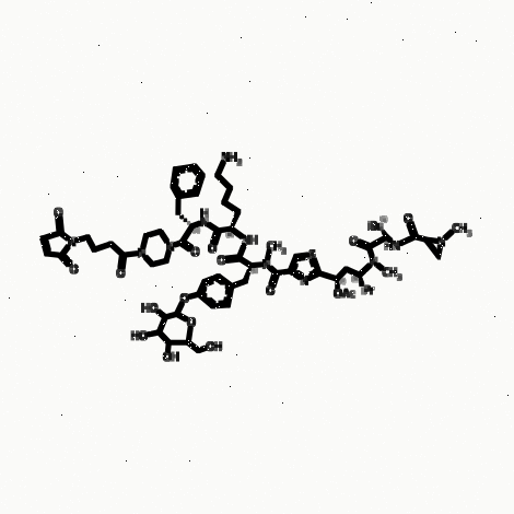 CC[C@H](C)C(NC(=O)C1CN1C)C(=O)N(C)[C@H](C[C@@H](OC(C)=O)c1nc(C(=O)N(C)[C@@H](Cc2ccc(OC3OC(CO)C(O)C(O)C3O)cc2)C(=O)N[C@H](CCCCN)C(=O)N[C@@H](Cc2ccccc2)C(=O)N2CCN(C(=O)CCCN3C(=O)C=CC3=O)CC2)cs1)C(C)C